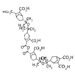 C[Si](C)(O[Si](C)(C)C1CC2CC1C(C(=O)O)C2C(=O)OC(=O)C1C2CC(C1C(=O)O)C([Si](C)(C)O[Si](C)(C)C1CC3CC1C(C(=O)O)C3C(=O)O)C2)C1CC2CC1C(C(=O)O)C2C(=O)O